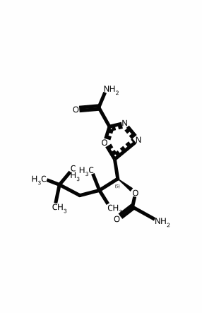 CC(C)(C)CC(C)(C)[C@H](OC(N)=O)c1nnc(C(N)=O)o1